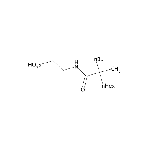 CCCCCCC(C)(CCCC)C(=O)NCCS(=O)(=O)O